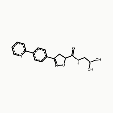 O=C(NCB(O)O)C1CC(c2ccc(-c3ccccn3)cc2)=NO1